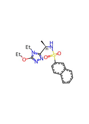 CCOc1nnc([C@@H](C)NS(=O)(=O)c2ccc3ccccc3c2)n1CC